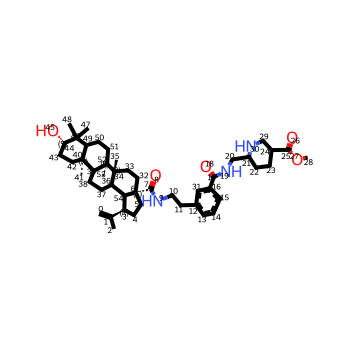 C=C(C)[C@@H]1CC[C@]2(C(=O)NCCc3cccc(C(=O)NCC4CCC(C(=O)OC)CN4)c3)CC[C@]3(C)C(CCC4[C@@]5(C)CC[C@H](O)C(C)(C)C5CC[C@]43C)C12